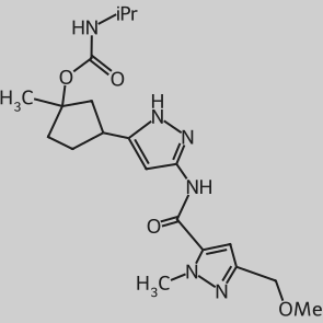 COCc1cc(C(=O)Nc2cc(C3CCC(C)(OC(=O)NC(C)C)C3)[nH]n2)n(C)n1